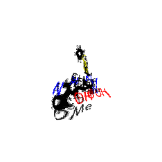 COc1ccc2ncc(N(C)C)c([C@H](O)CCC3(C(=O)NO)CCN(CCSC4CCCC4)CC3)c2c1